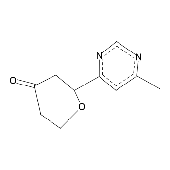 Cc1cc(C2CC(=O)CCO2)ncn1